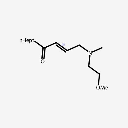 CCCCCCCC(=O)/C=C/CN(C)CCOC